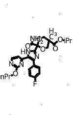 CCCOc1nccc(-c2[nH]c(C3(C(N)=O)OCC(C)(C(=O)OC(C)C)CO3)nc2-c2ccc(F)cc2)n1